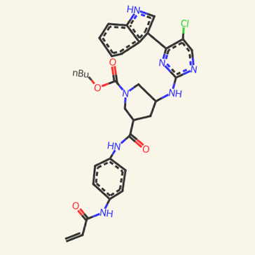 C=CC(=O)Nc1ccc(NC(=O)C2CC(Nc3ncc(Cl)c(-c4c[nH]c5ccccc45)n3)CN(C(=O)OCCCC)C2)cc1